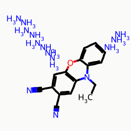 CCN1c2ccccc2Oc2cc(C#N)c(C#N)cc21.N.N.N.N.N.N.N.N.N.N.N